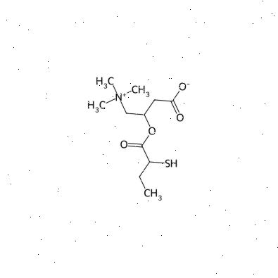 CCC(S)C(=O)OC(CC(=O)[O-])C[N+](C)(C)C